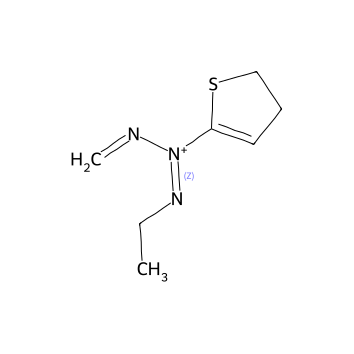 C=N/[N+](=N\CC)C1=CCCS1